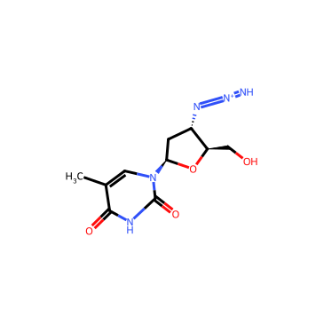 Cc1cn([C@H]2C[C@H](N=[N+]=N)[C@@H](CO)O2)c(=O)[nH]c1=O